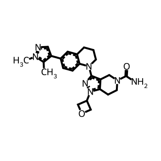 Cc1c(-c2ccc3c(c2)CCCN3c2nn(C3COC3)c3c2CN(C(N)=O)CC3)cnn1C